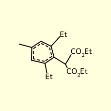 CCOC(=O)C(C(=O)OCC)c1c(CC)cc(C)cc1CC